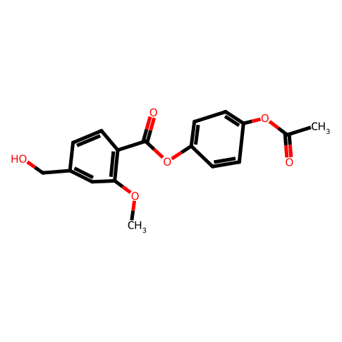 COc1cc(CO)ccc1C(=O)Oc1ccc(OC(C)=O)cc1